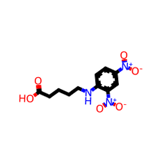 O=C(O)CCCCNc1ccc([N+](=O)[O-])cc1[N+](=O)[O-]